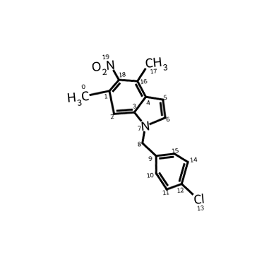 Cc1cc2c(ccn2Cc2ccc(Cl)cc2)c(C)c1[N+](=O)[O-]